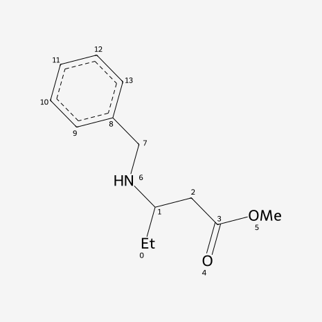 CCC(CC(=O)OC)NCc1ccccc1